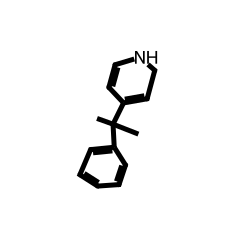 CC(C)(C1=CCNC=C1)c1ccccc1